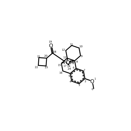 COc1ccc2c(c1)C13CCCCC1(O)C(C2)N(C(=O)C1CCC1)CC3